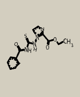 CCOC(=O)c1nccn1NC(=S)NC(=O)c1ccccc1